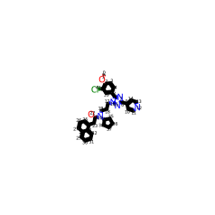 COc1ccc(-c2nc(-c3ccncc3)nn2CCCN(C(=O)Cc2cccc3ccccc23)C2CCCC2)cc1Cl